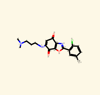 CN(C)CCCNC1=CC(=O)c2nc(-c3cc(C(F)(F)F)ccc3Cl)oc2C1=O